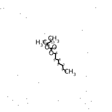 CCCCCCCOC(=O)OC(C)CC